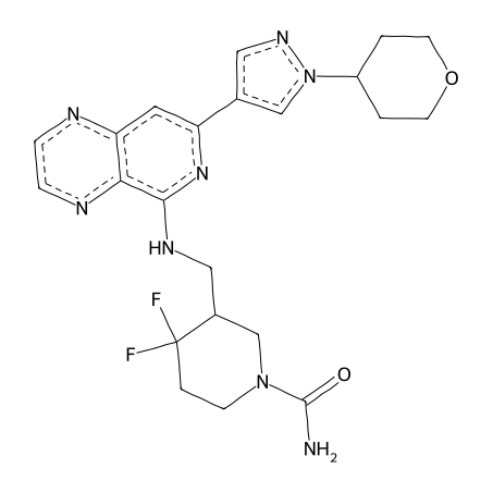 NC(=O)N1CCC(F)(F)C(CNc2nc(-c3cnn(C4CCOCC4)c3)cc3nccnc23)C1